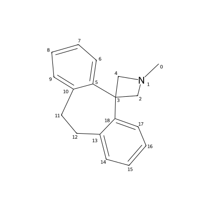 CN1CC2(C1)c1ccccc1CCc1ccccc12